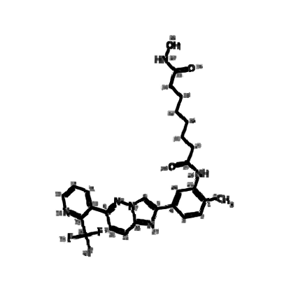 Cc1ccc(-c2cn3nc(-c4cccnc4C(F)(F)F)ccc3n2)cc1NC(=O)CCCCCCC(=O)NO